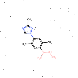 BBB(B)c1cc(C)c(-n2cnc(C)n2)cc1C